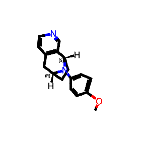 COc1ccc(N2[C@@H]3CC[C@H]2c2cnccc2C3)cc1